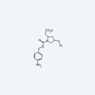 CC(=O)SC1CC(CC(=O)O)N(C(=O)OCc2ccc([N+](=O)[O-])cc2)C1